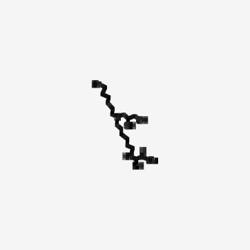 CC(C)CCCCCCN(CCCCCCNC(=N)NC(C)(C)C)CC(O)CO